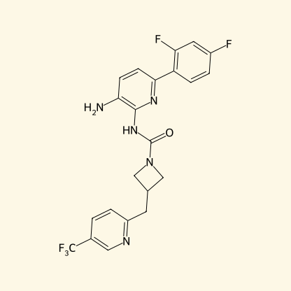 Nc1ccc(-c2ccc(F)cc2F)nc1NC(=O)N1CC(Cc2ccc(C(F)(F)F)cn2)C1